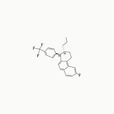 CCC[C@@H]1CCc2c(ccc3ccc(F)cc23)[C@H]1c1ccc(C(F)(F)F)cc1